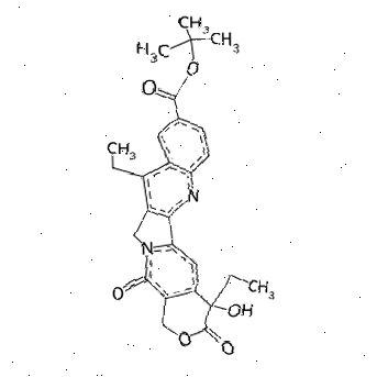 CCc1c2c(nc3ccc(C(=O)OC(C)(C)C)cc13)-c1cc3c(c(=O)n1C2)COC(=O)C3(O)CC